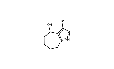 OC1CCCCn2ncc(Br)c21